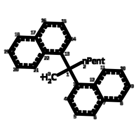 [CH2]C(CCCCC)(c1cccc2ccccc12)c1cccc2ccccc12